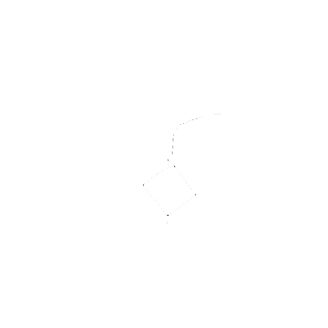 SSN1CCC1